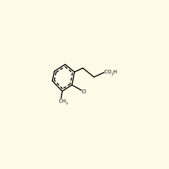 Cc1cccc(CCC(=O)O)c1Cl